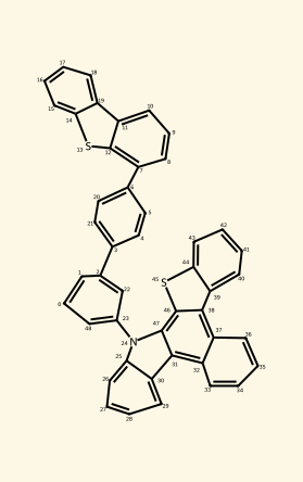 c1cc(-c2ccc(-c3cccc4c3sc3ccccc34)cc2)cc(-n2c3ccccc3c3c4ccccc4c4c5ccccc5sc4c32)c1